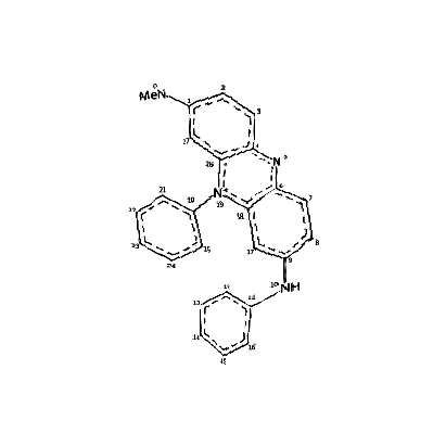 CNc1ccc2nc3ccc(Nc4ccccc4)cc3[n+](-c3ccccc3)c2c1